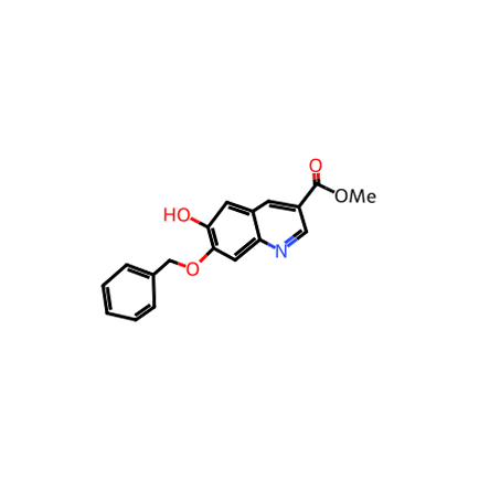 COC(=O)c1cnc2cc(OCc3ccccc3)c(O)cc2c1